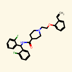 C=Cc1ccccc1OCCN1CCC(C(=O)NC(c2ccccc2F)c2ccccc2F)CC1